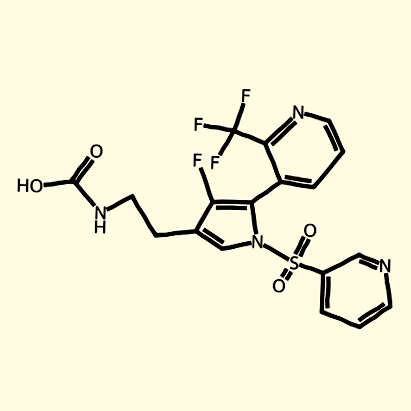 O=C(O)NCCc1cn(S(=O)(=O)c2cccnc2)c(-c2cccnc2C(F)(F)F)c1F